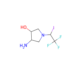 NC1CN(C(I)C(F)(F)F)CC1O